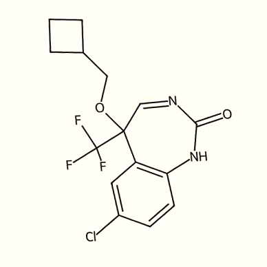 O=C1N=CC(OCC2CCC2)(C(F)(F)F)c2cc(Cl)ccc2N1